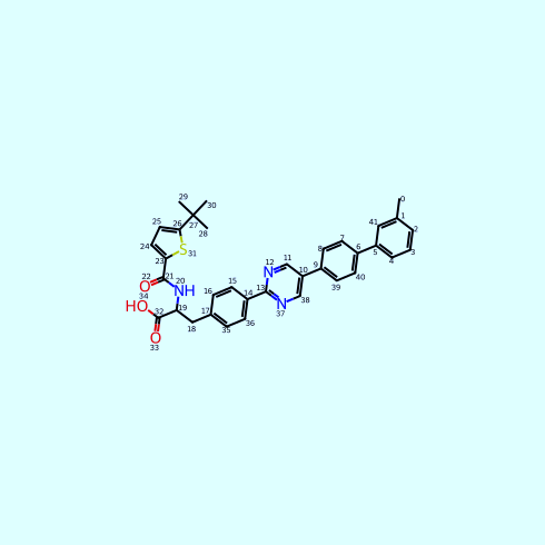 Cc1cccc(-c2ccc(-c3cnc(-c4ccc(CC(NC(=O)c5ccc(C(C)(C)C)s5)C(=O)O)cc4)nc3)cc2)c1